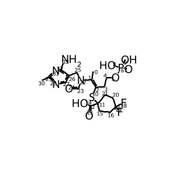 C/C(=C(\CCOP(=O)(O)O)SC1(C(=O)O)CCC(F)(F)CC1)N(C=O)Cc1cnc(C)nc1N